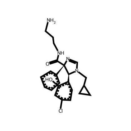 NCCCNC(=O)[C@]1(c2ccccc2)N=CN(CC2CC2)[C@H]1c1ccc(Cl)cc1O